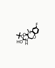 CN1C(=O)[C@@H](NC(O)OC(C)(C)C)COc2ccc(F)cc21